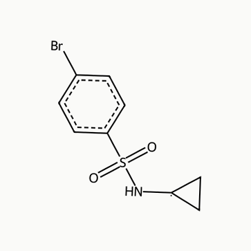 O=S(=O)(N[C]1CC1)c1ccc(Br)cc1